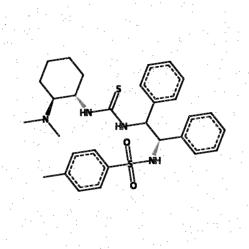 Cc1ccc(S(=O)(=O)N[C@@H](c2ccccc2)C(NC(=S)N[C@H]2CCCC[C@@H]2N(C)C)c2ccccc2)cc1